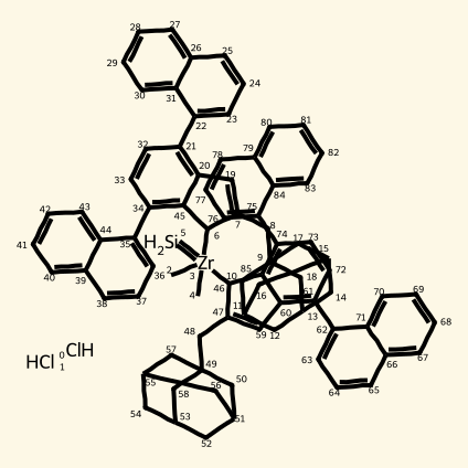 Cl.Cl.[CH3][Zr]([CH3])(=[SiH2])([CH]1C(CC23CC4CC(CC(C4)C2)C3)=Cc2c(-c3cccc4ccccc34)ccc(-c3cccc4ccccc34)c21)[CH]1C(CC23CC4CC(CC(C4)C2)C3)=Cc2c(-c3cccc4ccccc34)ccc(-c3cccc4ccccc34)c21